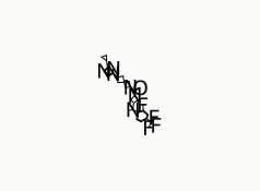 CN(c1ccc(C(F)(F)F)cc1F)C1CN(C(=O)N2CC3(CC(n4cnc(C5CC5)n4)C3)C2)C1